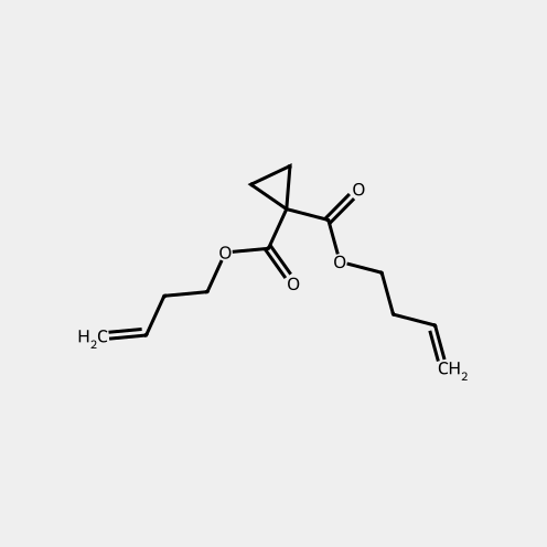 C=CCCOC(=O)C1(C(=O)OCCC=C)CC1